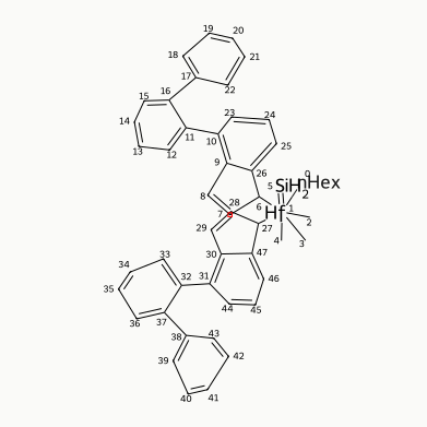 CCCCC[CH2][Hf]([CH3])([CH3])([CH3])(=[SiH2])([CH]1C=Cc2c(-c3ccccc3-c3ccccc3)cccc21)[CH]1C=Cc2c(-c3ccccc3-c3ccccc3)cccc21